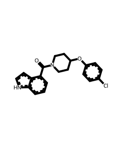 O=C(c1cccc2[nH]ccc12)N1CCC(Oc2ccc(Cl)cc2)CC1